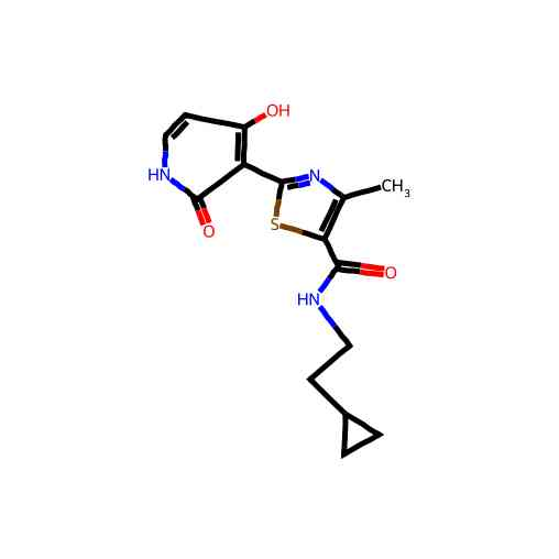 Cc1nc(-c2c(O)cc[nH]c2=O)sc1C(=O)NCCC1CC1